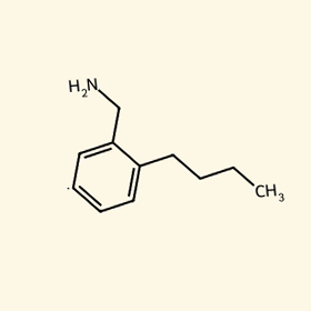 CCCCc1cc[c]cc1CN